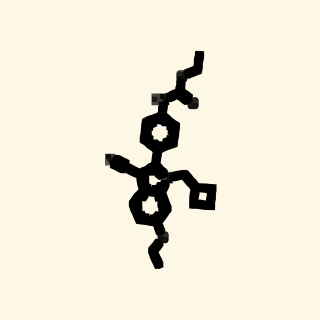 CCOC(=O)Nc1ccc(-c2c(C#N)c3ccc(OCC)cc3n2CC2CCC2)cc1